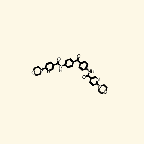 O=C(Nc1ccc(C(=O)c2ccc(NC(=O)c3ccc(N4CCOCC4)nc3)cc2)cc1)c1ccc(N2CCOCC2)nc1